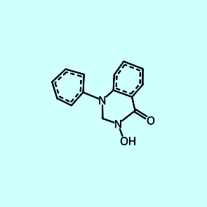 O=C1c2ccccc2N(c2ccccc2)CN1O